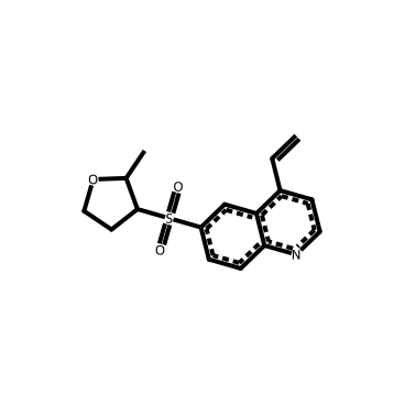 C=Cc1ccnc2ccc(S(=O)(=O)C3CCOC3C)cc12